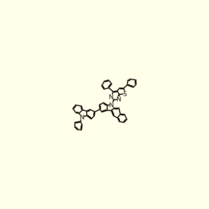 c1ccc(-c2cc3c(-c4ccccc4)nc(-n4c5ccc(-c6ccc7c(c6)c6ccccc6n7-c6ccccc6)cc5c5cc6ccccc6cc54)nc3s2)cc1